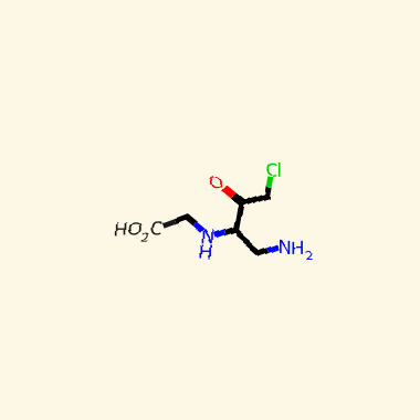 NCC(NCC(=O)O)C(=O)CCl